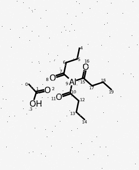 CC(=O)O.CCC[C](=O)[Al]([C](=O)CCC)[C](=O)CCC